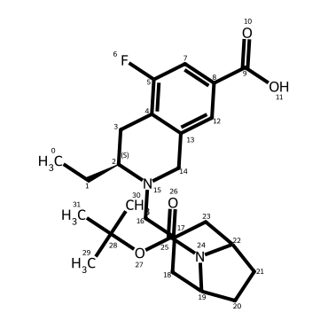 CC[C@H]1Cc2c(F)cc(C(=O)O)cc2CN1CC1CC2CCC(C1)N2C(=O)OC(C)(C)C